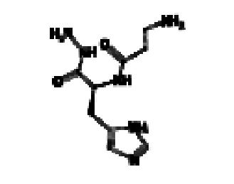 NCCC(=O)N[C@@H](Cc1cnc[nH]1)C(=O)NN